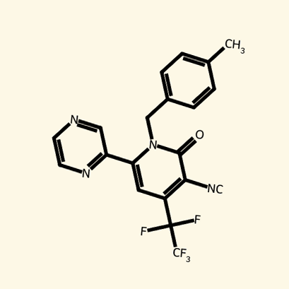 [C-]#[N+]c1c(C(F)(F)C(F)(F)F)cc(-c2cnccn2)n(Cc2ccc(C)cc2)c1=O